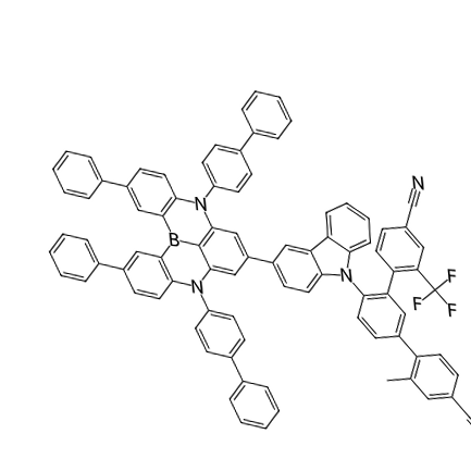 Cc1cc(C#N)ccc1-c1ccc(-n2c3ccccc3c3cc(-c4cc5c6c(c4)N(c4ccc(-c7ccccc7)cc4)c4ccc(-c7ccccc7)cc4B6c4cc(-c6ccccc6)ccc4N5c4ccc(-c5ccccc5)cc4)ccc32)c(-c2ccc(C#N)cc2C(F)(F)F)c1